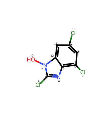 On1c(Cl)nc2c(Cl)cc(Cl)cc21